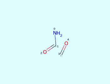 N[C]=O.[CH]=O